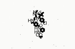 Cc1sc2c(c1C)C(c1ccc(Cl)cc1)=N[C@@H](CC(=O)NC(C)c1ccc(C(=O)Nc3ccccc3NC(=O)OC(C)(C)C)cc1)c1nnc(C)n1-2